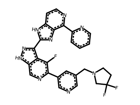 Fc1c(-c2cncc(CN3CCC(F)(F)C3)c2)ncc2[nH]nc(-c3nc4c(-c5ccccn5)nccc4[nH]3)c12